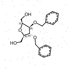 OC[C@@H]1O[C@H](CO)[C@@H](OCc2ccccc2)[C@@H]1OCc1ccccc1